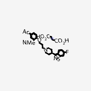 CNc1cc(C(C)=O)ccc1OCCCN1CCC(c2nsc3cc(F)ccc23)CC1.O=C(O)/C=C/C(=O)O